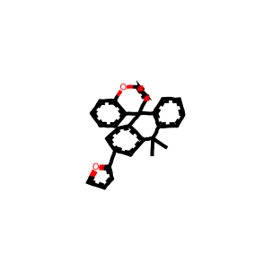 CC1(C)c2ccccc2C2(c3ccccc3Oc3ccccc32)c2ccc(-c3ccco3)cc21